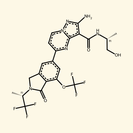 C[C@H](CO)NC(=O)c1c(N)nn2ccc(-c3cc4c(c(OC(F)(F)F)c3)C(=O)N([C@@H](C)C(F)(F)F)C4)nc12